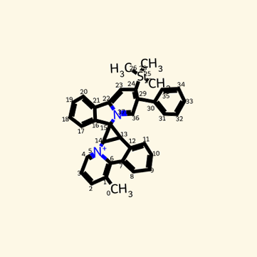 Cc1ccc[n+]2c1-c1ccccc1C1C2C12c1ccccc1-c1cc([Si](C)(C)C)c(-c3ccccc3)c[n+]12